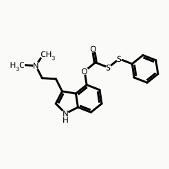 CN(C)CCc1c[nH]c2cccc(OC(=O)SSc3ccccc3)c12